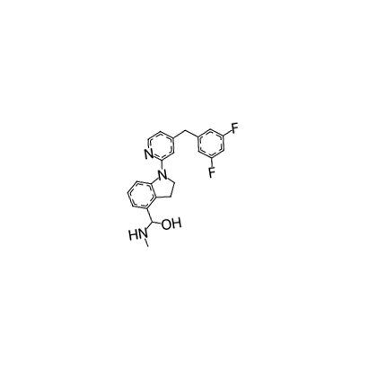 CNC(O)c1cccc2c1CCN2c1cc(Cc2cc(F)cc(F)c2)ccn1